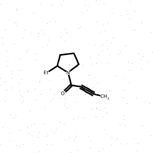 CC#CC(=O)N1CCCC1CC